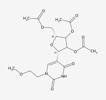 COCCn1cc([C@@H]2O[C@H](COC(C)=O)C(OC(C)=O)C2OC(C)=O)c(=O)[nH]c1=O